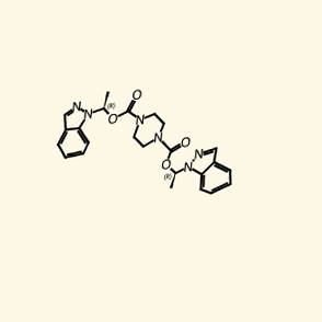 C[C@@H](OC(=O)N1CCN(C(=O)O[C@H](C)n2ncc3ccccc32)CC1)n1ncc2ccccc21